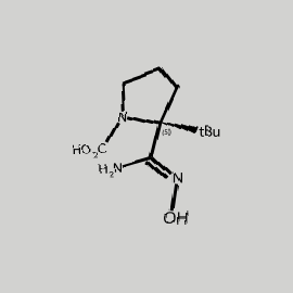 CC(C)(C)[C@]1(C(N)=NO)CCCN1C(=O)O